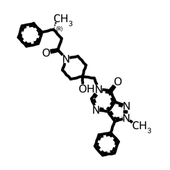 C[C@H](CC(=O)N1CCC(O)(Cn2cnc3c(-c4ccccc4)n(C)nc3c2=O)CC1)c1ccccc1